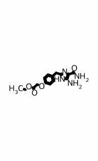 CCOC(=O)COc1ccc(Cc2nc(C(N)=O)c(N)[nH]2)cc1